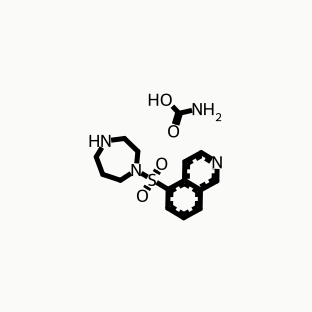 NC(=O)O.O=S(=O)(c1cccc2cnccc12)N1CCCNCC1